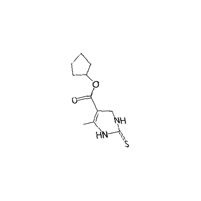 CC1=C(C(=O)OC2CCCC2)CNC(=S)N1